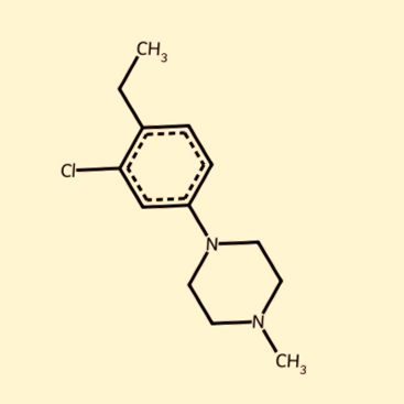 CCc1ccc(N2CCN(C)CC2)cc1Cl